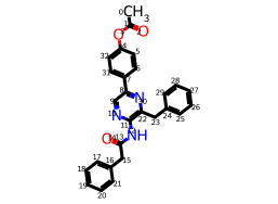 CC(=O)Oc1ccc(-c2cnc(NC(=O)Cc3ccccc3)c(Cc3ccccc3)n2)cc1